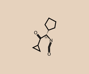 O=C=N[C@H](C(=O)C1CC1)C1CCCC1